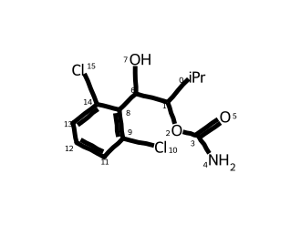 CC(C)C(OC(N)=O)C(O)c1c(Cl)cccc1Cl